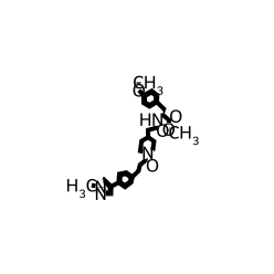 COC(=O)[C@H](Cc1ccc(OC)cc1)NC(=O)CC1CCN(C(=O)CCc2ccc(-c3cnn(C)c3)cc2)CC1